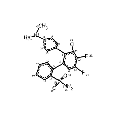 CN(C)c1ccc(-c2c(-c3ccccc3S(N)(=O)=O)cc(F)c(F)c2Cl)cc1